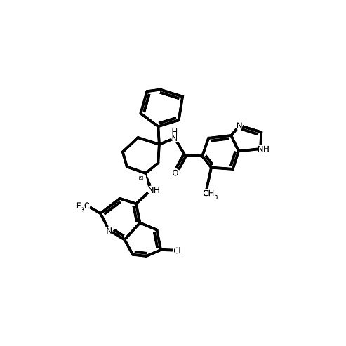 Cc1cc2[nH]cnc2cc1C(=O)NC1(c2ccccc2)CCC[C@H](Nc2cc(C(F)(F)F)nc3ccc(Cl)cc23)C1